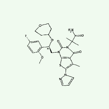 COc1ccc(F)cc1[C@H](Cn1c(=O)n(C(C)(C)C(N)=O)c(=O)c2c(C)c(-n3cccn3)sc21)OC1CCOCC1